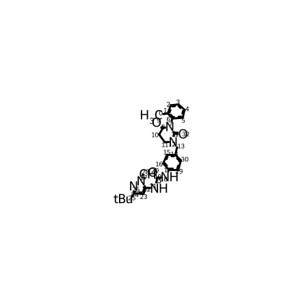 Cc1ccccc1N1C(=O)CCN(Cc2ccc(NC(=O)Nc3cc(C(C)(C)C)nn3C)cc2)C1=O